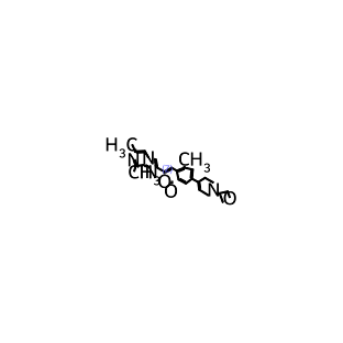 Cc1cn2cc(/C(=C/c3ccc(C4=CCN(C5COC5)CC4)cc3C)OC=O)nc2c(C)n1